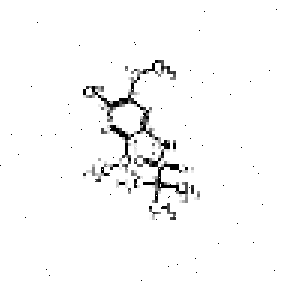 COc1cc(NS(=O)(=O)C(C)(C)C)c(OC)cc1Cl